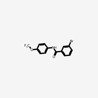 O=C(Nc1ccc(OC(F)(F)F)cc1)c1cccc(Br)c1